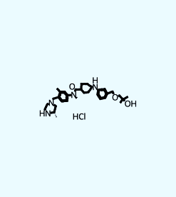 Cc1cc(N(C)C(=O)C2CCC(Nc3cccc(COCC(C)(C)O)c3)CC2)ccc1CN1CCN[C@@H](C)C1.Cl